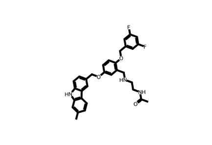 CC(=O)NCCNCc1cc(OCc2ccc3[nH]c4cc(C)ccc4c3c2)ccc1OCc1cc(F)cc(F)c1